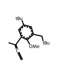 C=C=C(C)c1cc(C(C)(C)C)cc(CC(C)(C)C)c1OC